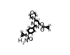 NC(=O)N(c1ccc(-c2nc(OC(=O)C3CC3)cc(N3CCOCC3)n2)cc1)C1CC1